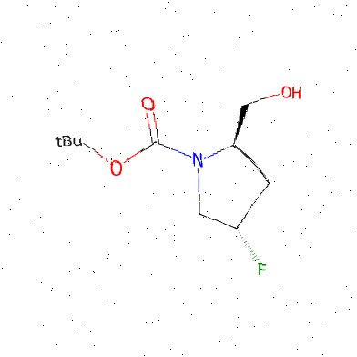 CC(C)(C)OC(=O)N1C[C@@H](F)C[C@@H]1CO